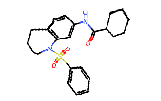 O=C(Nc1ccc2c(c1)N(S(=O)(=O)c1ccccc1)CCC2)C1CCCCC1